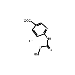 CC(C)(C)OC(=O)Nc1ccc(C(=O)[O-])cn1.[Li+]